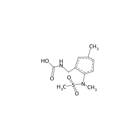 Cc1ccc(N(C)S(C)(=O)=O)c(CNC(=O)O)c1